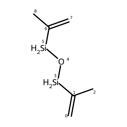 C=C(C)[SiH2]O[SiH2]C(=C)C